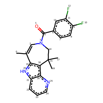 CC1=CN(C(=O)c2ccc(F)c(F)c2)CC(C)(C)c2c1[nH]c1cccnc21